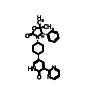 CC1(C)OC(=O)N([C@H]2CC[C@H](c3c[nH]c(=O)c(-c4ncccn4)c3)CC2)[C@H]1c1ccccc1